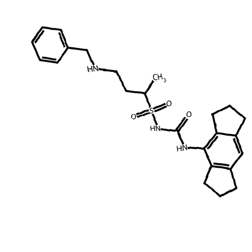 CC(CCNCc1ccccc1)S(=O)(=O)NC(=O)Nc1c2c(cc3c1CCC3)CCC2